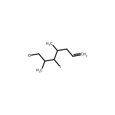 C=CCC(C)C(I)C(C)C[O]